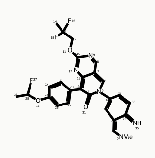 CN/C=C1/C=C(n2cc3cnc(OCC(C)(F)F)nc3c(-c3ccc(OC(C)F)cc3)c2=O)C=CC1=N